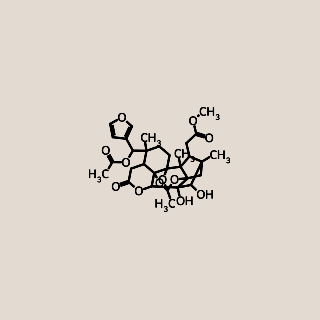 COC(=O)CC1C2(C)CC34OC5(C)OC67C(CC(=O)OC6C3(O)C2O)C(C)(C(OC(C)=O)c2ccoc2)CCC7(O5)C14C